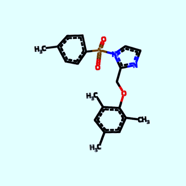 Cc1ccc(S(=O)(=O)n2ccnc2COc2c(C)cc(C)cc2C)cc1